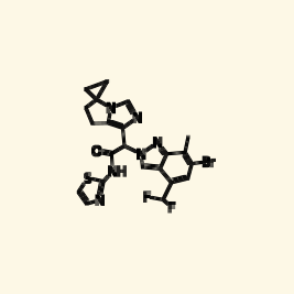 Cc1c(Br)cc(C(F)F)c2cn(C(C(=O)Nc3nccs3)c3ncn4c3CCC43CC3)nc12